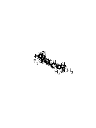 CN(C)C(=O)c1ccc(N2CCC(CC3(C)CCN(C(=O)C(O)(c4cc(F)cc(Cl)c4)C(F)(F)F)CC3)CC2)cc1Cl